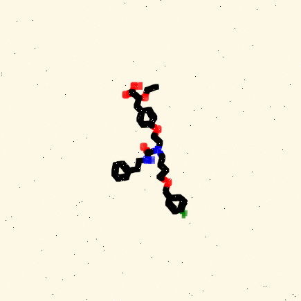 CCOC(Cc1ccc(OCCN(CCCCOCc2ccc(F)cc2)C(=O)NCCc2ccccc2)cc1)C(=O)O